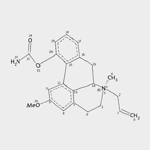 C=CC[N@@+]1(C)CCc2cc(OC)cc3c2C1Cc1cccc(OC(N)=O)c1-3